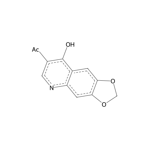 CC(=O)c1cnc2cc3c(cc2c1O)OCO3